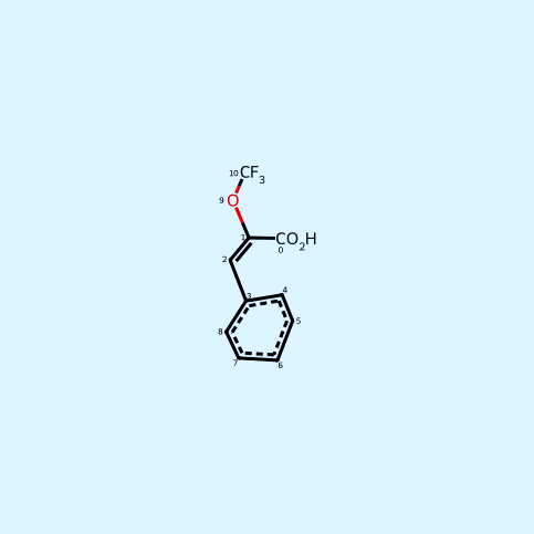 O=C(O)/C(=C\c1ccccc1)OC(F)(F)F